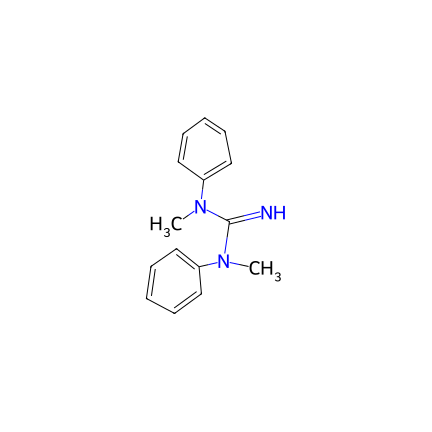 CN(C(=N)N(C)c1ccccc1)c1ccccc1